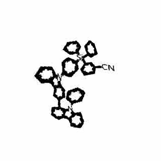 N#Cc1cccc([Si](c2ccccc2)(c2ccccc2)c2ccc(-n3c4ccccc4c4cc(-c5cccc6c7ccccc7n(-c7ccccc7)c56)ccc43)cc2)c1